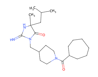 CC(C)CC1(C)NC(=N)N(CC2CCN(C(=O)C3CCCCCC3)CC2)C1=O